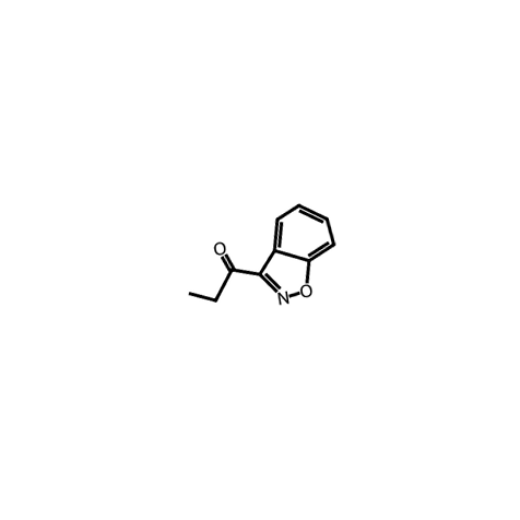 CCC(=O)c1noc2ccccc12